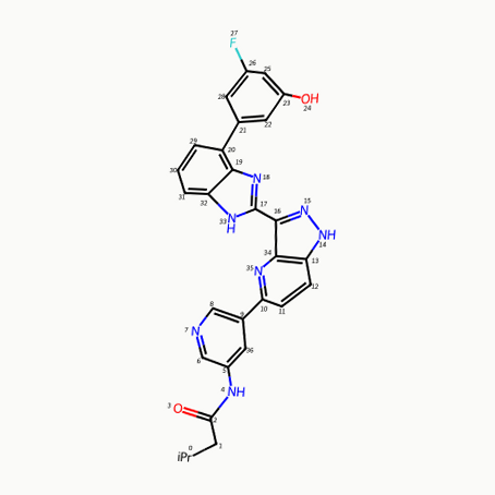 CC(C)CC(=O)Nc1cncc(-c2ccc3[nH]nc(-c4nc5c(-c6cc(O)cc(F)c6)cccc5[nH]4)c3n2)c1